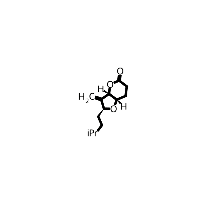 C=C1[C@H](CCC(C)C)O[C@H]2CCC(=O)O[C@@H]12